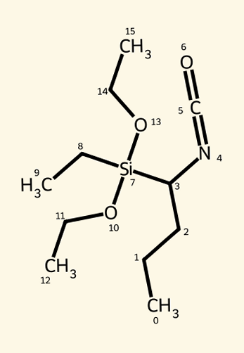 CCCC(N=C=O)[Si](CC)(OCC)OCC